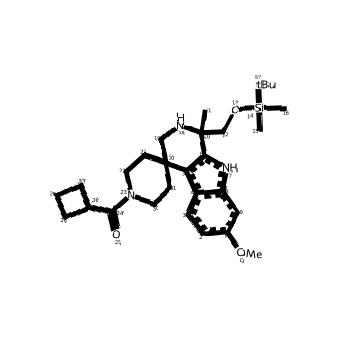 COc1ccc2c3c([nH]c2c1)C(C)(CO[Si](C)(C)C(C)(C)C)NCC31CCN(C(=O)C2CCC2)CC1